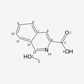 CO.O=C(O)c1cc2ccccc2cn1